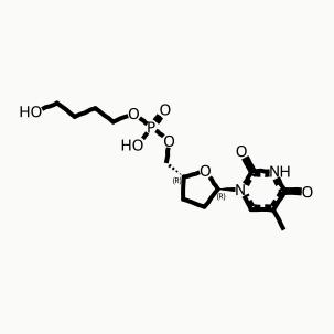 Cc1cn([C@H]2CC[C@H](COP(=O)(O)OCCCCO)O2)c(=O)[nH]c1=O